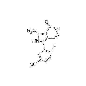 Cc1[nH]c(-c2cc(C#N)ccc2F)c2cn[nH]c(=O)c12